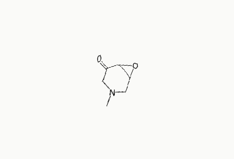 CN1CC(=O)C2OC2C1